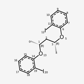 C[C@H](C[C@@H](C)Oc1ccccc1I)Oc1ccccc1I